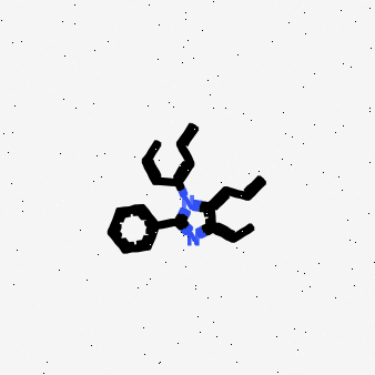 C=C/C=C(\C=C/C)n1c(-c2ccccc2)nc(=C/C)/c1=C\C=C